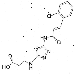 O=C(O)CCNc1nnc(NC(=O)C=Cc2ccccc2Cl)s1